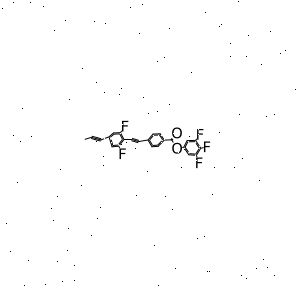 CC#Cc1cc(F)c(C#Cc2ccc(C(=O)Oc3cc(F)c(F)c(F)c3)cc2)c(F)c1